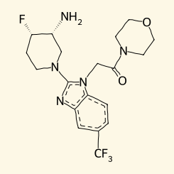 N[C@@H]1CN(c2nc3cc(C(F)(F)F)ccc3n2CC(=O)N2CCOCC2)CC[C@@H]1F